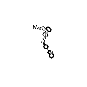 COc1ccccc1N1CCN(CCOc2ccc(-c3cc4ccccn4c3)cc2)CC1